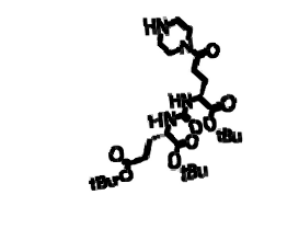 CC(C)(C)OC(=O)CC[C@H](NC(=O)N[C@@H](CCC(=O)N1CCNCC1)C(=O)OC(C)(C)C)C(=O)OC(C)(C)C